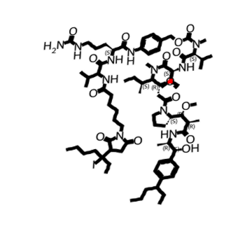 CCCCC(I)(CC)C1CC(=O)N(CCCCCC(=O)NC(C(=O)N[C@@H](CCCNC(N)=O)C(=O)Nc2ccc(COC(=O)N(C)[C@H](C(=O)N[C@H](C(=O)N(C)C([C@@H](C)CC)[C@@H](CC(=O)N3CCC[C@H]3[C@H](OC)[C@@H](C)C(=O)N[C@H](C)[C@@H](O)c3ccc(C(CC)CCC)cc3)OC)C(C)C)C(C)C)cc2)C(C)C)C1=O